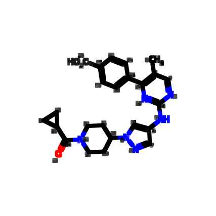 Cc1cnc(Nc2cnn(C3CCN(C(=O)C4CC4)CC3)c2)nc1-c1ccc(C(=O)O)cc1